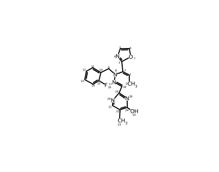 C/C=C(/c1ncco1)N(Cc1ccccc1F)/N=C/c1ncc(C)c(O)n1